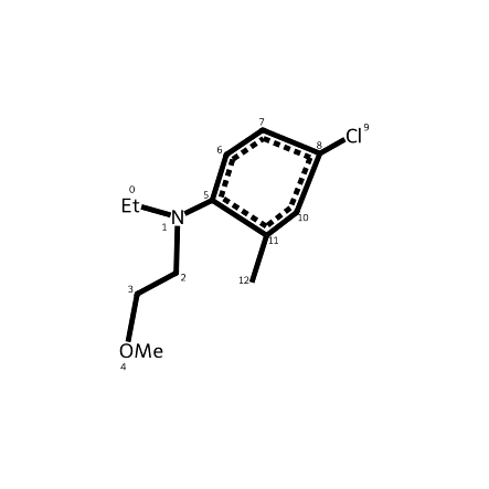 CCN(CCOC)c1ccc(Cl)cc1C